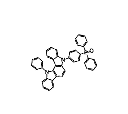 O=P(c1ccccc1)(c1ccccc1)c1ccc(-n2c3ccccc3c3c2ccc2c4ccccc4n(-c4ccccc4)c23)cc1